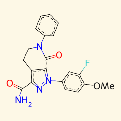 COc1ccc(-n2nc(C(N)=O)c3c2C(=O)N(c2ccccc2)CC3)cc1F